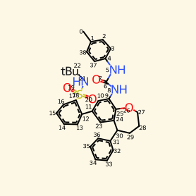 Cc1ccc(NC(=O)Nc2cc(-c3ccccc3S(=O)(=O)NC(C)(C)C)cc3c2OCCCC3c2ccccc2)cc1